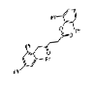 CC(C)c1cc(C(C)C)c(CC(=O)CCS(=O)Oc2c(C(C)C)cccc2C(C)C)c(C(C)C)c1